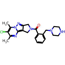 Cc1nc2c3c(nn2c(C)c1Cl)CN(C(=O)c1ccccc1CN1CCNCC1)C3